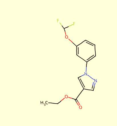 CCOC(=O)c1cnn(-c2cccc(OC(F)F)c2)c1